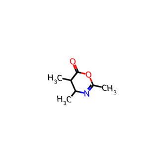 CC1=NC(C)C(C)C(=O)O1